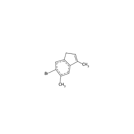 CC1=CCc2cc(Br)c(C)cc21